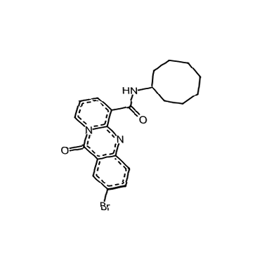 O=C(NC1CCCCCCC1)c1cccn2c(=O)c3cc(Br)ccc3nc12